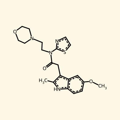 COc1ccc2[nH]c(C)c(CC(=O)N(CCN3CCOCC3)c3nccs3)c2c1